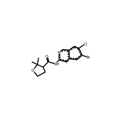 CC1(C)OCCC1C(=O)Nc1cc2cc(Br)c(Cl)cc2cn1